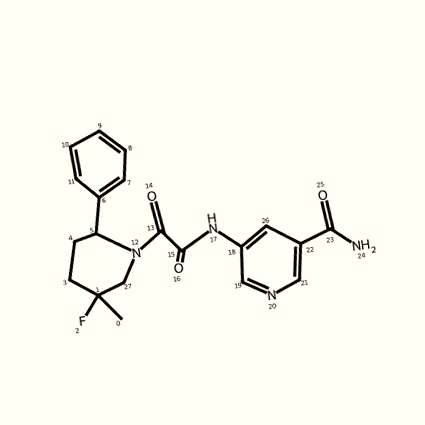 CC1(F)CCC(c2ccccc2)N(C(=O)C(=O)Nc2cncc(C(N)=O)c2)C1